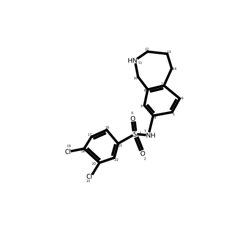 O=S(=O)(Nc1ccc2c(c1)CNCCC2)c1ccc(Cl)c(Cl)c1